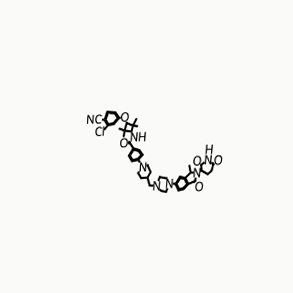 CC1c2cc(N3CCN(CC4CCN(c5ccc(C(=O)NC6C(C)(C)C(Oc7ccc(C#N)c(Cl)c7)C6(C)C)cc5)CC4)CC3)ccc2C(=O)N1C1CCC(=O)NC1=O